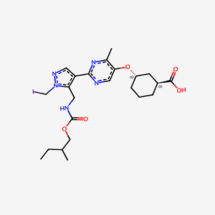 CCC(C)COC(=O)NCc1c(-c2ncc(O[C@H]3CCC[C@H](C(=O)O)C3)c(C)n2)cnn1CI